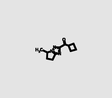 CC1CCc2nc(C(=O)C3CCC3)nn21